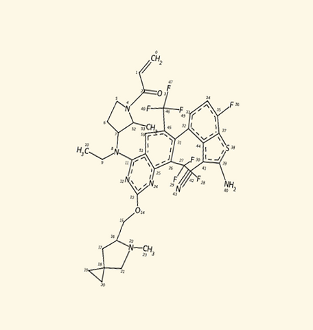 C=CC(=O)N1CCC(N(CC)c2nc(OCC3CC4(CC4)CN3C)nc3c(C(F)(F)F)c(-c4ccc(F)c5sc(N)c(C#N)c45)c(C(F)(F)F)cc23)C1C